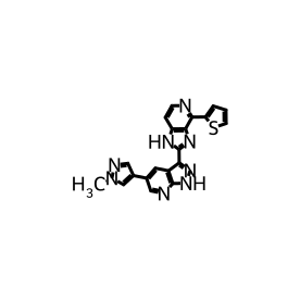 Cn1cc(-c2cnc3[nH]nc(-c4nc5c(-c6cccs6)nccc5[nH]4)c3c2)cn1